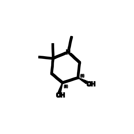 CN1C[C@H](O)[C@H](O)CC1(C)C